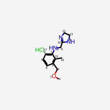 COCc1cccc(NCC2=NCCN2)c1C.Cl